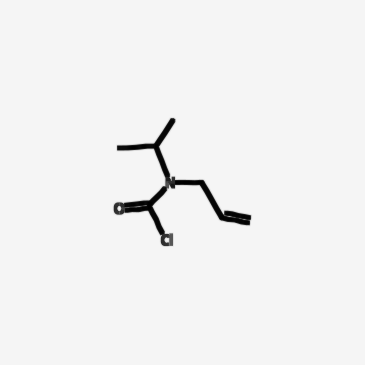 C=CCN(C(=O)Cl)C(C)C